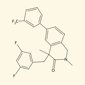 CN1Cc2ccc(-c3cccc(C(F)(F)F)c3)cc2C(C)(Cc2cc(F)cc(F)c2)C1=O